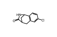 O=C1NC2CC1Cc1cc(Cl)ccc12